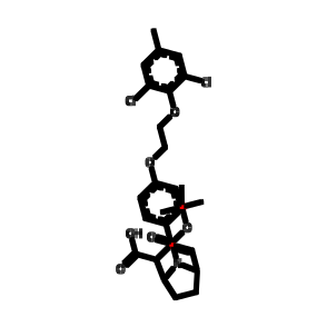 Cc1cc(Cl)c(OCCOc2ccc(C3=CC4CCC(C3C(=O)O)N4C(=O)OC(C)(C)C)cc2)c(Cl)c1